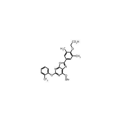 CCCOc1nc(Oc2ccccc2C(F)(F)F)nc2oc(-c3cc(C)c(OCC(=O)O)c(C)c3)nc12